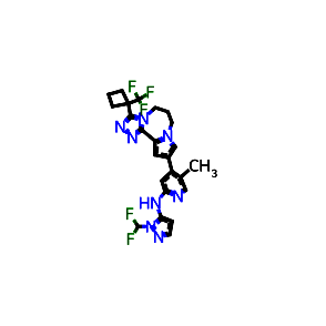 Cc1cnc(Nc2ccnn2C(F)F)cc1-c1cc2n(c1)CCCn1c-2nnc1C1(C(F)(F)F)CCC1